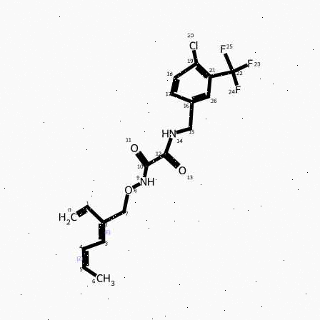 C=C/C(=C\C=C/C)CONC(=O)C(=O)NCc1ccc(Cl)c(C(F)(F)F)c1